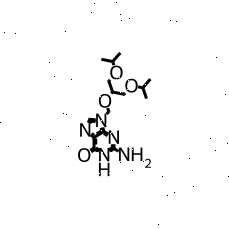 CC(C)OCC(COC(C)C)OCn1cnc2c(=O)[nH]c(N)nc21